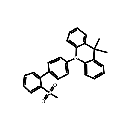 CC1(C)c2ccccc2N(c2ccc(-c3ccccc3S(C)(=O)=O)cc2)c2ccccc21